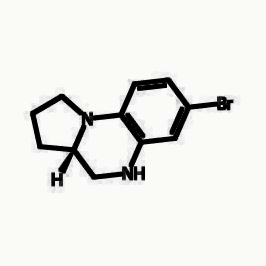 Brc1ccc2c(c1)NC[C@@H]1CCCN21